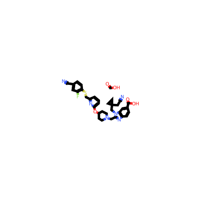 N#CCC1(Cn2c(CN3CCC(Oc4cccc(CSc5ccc(C#N)cc5F)n4)CC3)nc3ccc(C(=O)O)cc32)CC1.O=CO